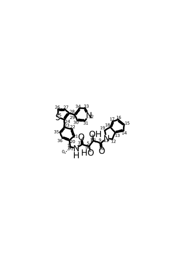 C[C@@H](NC(=O)[C@H](O)[C@@H](O)C(=O)N1Cc2ccccc2C1)c1ccc(-c2sccc2-c2ccncc2)cc1